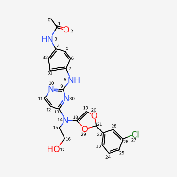 CC(=O)Nc1ccc(Nc2nccc(N(CCO)C3=COC(c4cccc(Cl)c4)O3)n2)cc1